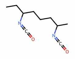 CCC(CCCC(C)N=C=O)N=C=O